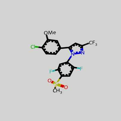 COc1cc(-c2cc(C(F)(F)F)nn2-c2cc(F)c(S(C)(=O)=O)cc2F)ccc1Cl